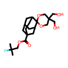 CC(C)(F)COC(=O)C12CC3CC(C1)C1(OCC(CO)(CO)CO1)C(C3)C2